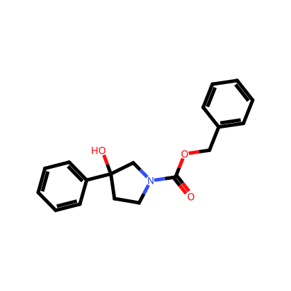 O=C(OCc1ccccc1)N1CCC(O)(c2ccccc2)C1